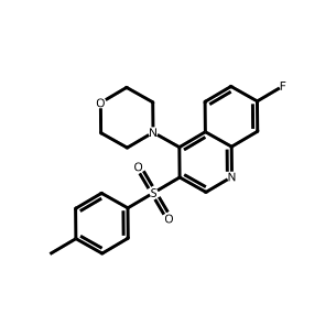 Cc1ccc(S(=O)(=O)c2cnc3cc(F)ccc3c2N2CCOCC2)cc1